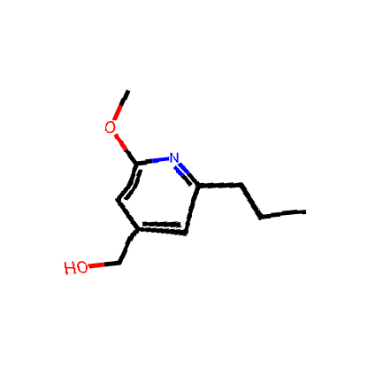 CCCc1cc(CO)cc(OC)n1